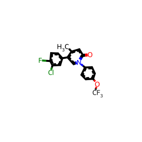 Cc1cc(=O)n(-c2ccc(OC(F)(F)F)cc2)cc1-c1ccc(F)c(Cl)c1